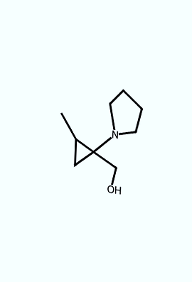 CC1CC1(CO)N1CCCC1